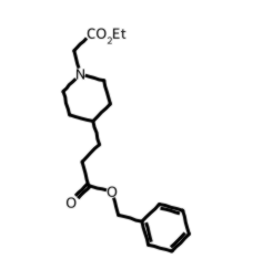 CCOC(=O)CN1CCC(CCC(=O)OCc2ccccc2)CC1